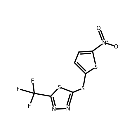 O=[N+]([O-])c1ccc(Sc2nnc(C(F)(F)F)s2)s1